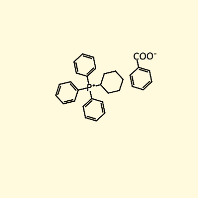 O=C([O-])c1ccccc1.c1ccc([P+](c2ccccc2)(c2ccccc2)C2CCCCC2)cc1